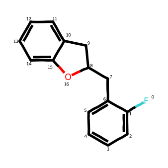 Fc1ccccc1CC1Cc2ccccc2O1